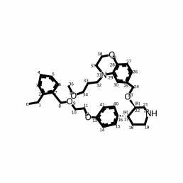 CCc1ccccc1COCCOc1ccc([C@H]2CCNC[C@@H]2OCc2ccc3c(c2)N(CCCOC)CCO3)cc1